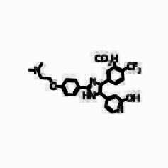 CN(C)CCOc1ccc(-c2nc(-c3ccc(C(F)(F)F)c(C(=O)O)c3)c(-c3ccnc(O)c3)[nH]2)cc1